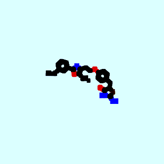 CSc1cccc(-c2nc(CCOc3ccc(CC4SC(=N)NC4=O)cc3)c(C)o2)c1